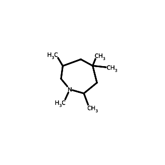 CC1CN(C)C(C)CC(C)(C)C1